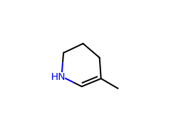 CC1=CNCCC1